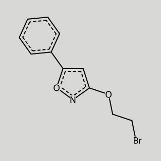 BrCCOc1cc(-c2ccccc2)on1